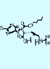 CCCCCOC(=O)N(c1nc2nc(S)ncc2[nH]1)[C@H](CCCNC(=N)N)C(=O)O